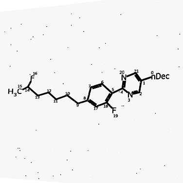 CCCCCCCCCCc1cnc(-c2ccc(CCCCCC(C)F)cc2F)nc1